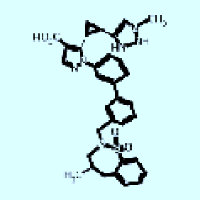 C[C@@H]1Cc2ccccc2S(=O)(=O)N(Cc2cccc(-c3cccc(-n4ncc(C(=O)O)c4[C@@H]4C[C@H]4C4=CN(C)NN4)c3)c2)C1